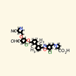 Cc1c(COc2cc(OCc3cncc(C#N)c3)c(C=O)cc2Cl)cccc1-c1cccc(-c2nc3cc(CN4CC[C@@H](C(=O)O)C4)cc(Cl)c3o2)c1C